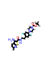 Cc1ccc2c(N)c(C(=O)NCCc3cc(F)c(N4CCN(C(=O)OC(C)(C)C)CC4)cc3F)sc2n1